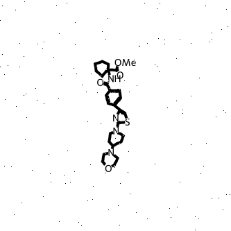 COC(=O)C1(NC(=O)c2ccc(-c3csc(N4CCC(N5CCOCC5)CC4)n3)cc2)CCCCC1